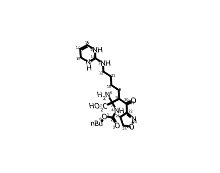 CCCCOC(=O)NC(N)(C(=O)O)C(CCCCNC1NC=CCN1)C(=O)C1=NOCC1